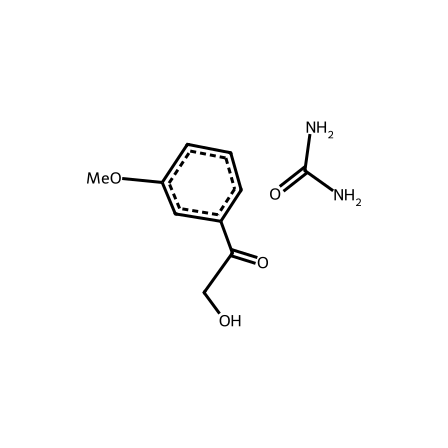 COc1cccc(C(=O)CO)c1.NC(N)=O